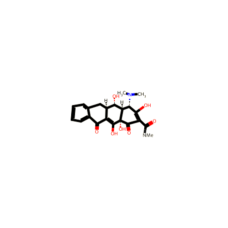 CNC(=O)C1=C(O)[C@@H](N(C)C)[C@@H]2[C@@H](O)[C@@H]3Cc4ccccc4C(=O)C3=C(O)[C@]2(O)C1=O